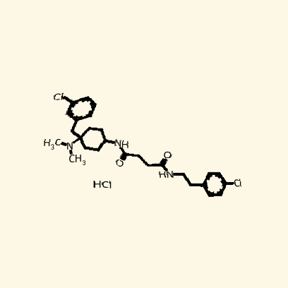 CN(C)C1(Cc2cccc(Cl)c2)CCC(NC(=O)CCC(=O)NCCc2ccc(Cl)cc2)CC1.Cl